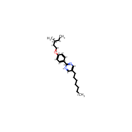 CCCCCCCc1cnc(-c2ccc(OCC[C@@H](C)CC)cc2)nc1